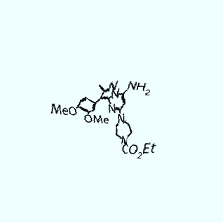 CCOC(=O)N1CCN(c2cc(N)n3nc(C)c(-c4ccc(OC)c(OC)c4)c3n2)CC1